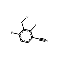 N#Cc1ccc(F)c(CBr)c1F